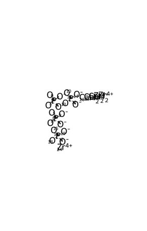 O=P([O-])([O-])[O-].O=P([O-])([O-])[O-].O=P([O-])([O-])[O-].O=P([O-])([O-])[O-].[CaH2].[CaH2].[CaH2].[Zr+4].[Zr+4].[Zr+4]